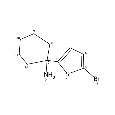 NC1(c2ccc(Br)s2)CCCCC1